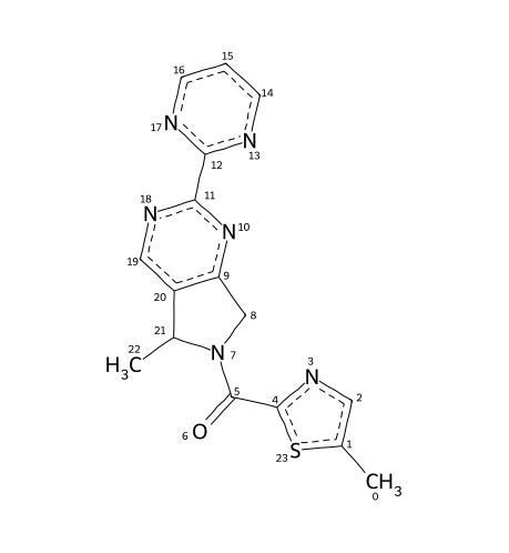 Cc1cnc(C(=O)N2Cc3nc(-c4ncccn4)ncc3C2C)s1